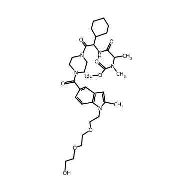 Cc1cc2cc(C(=O)N3CCN(C(=O)C(NC(=O)C(C)N(C)C(=O)OC(C)(C)C)C4CCCCC4)CC3)ccc2n1CCOCCOCCO